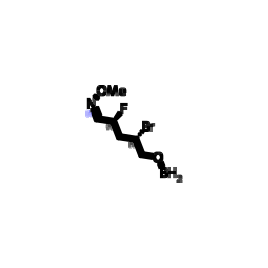 BOC[C@@H](Br)C[C@H](F)/C=N\OC